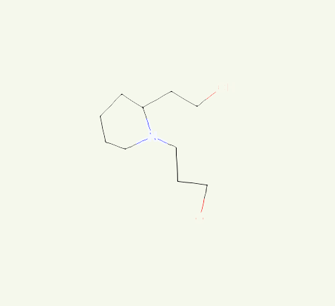 [O]CCCN1CCCCC1CCO